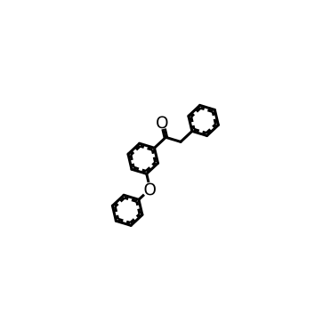 O=C(Cc1ccccc1)c1cccc(Oc2ccccc2)c1